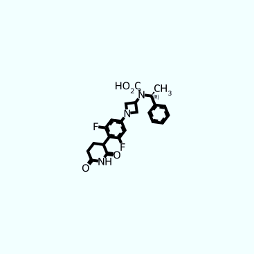 C[C@H](c1ccccc1)N(C(=O)O)C1CN(c2cc(F)c(C3CCC(=O)NC3=O)c(F)c2)C1